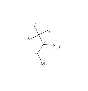 CC(C)(C)C(N)CO